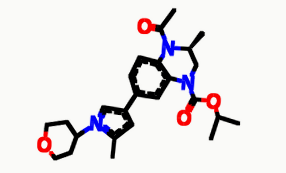 CC(=O)N1c2ccc(-c3cc(C)n(C4CCOCC4)c3)cc2N(C(=O)OC(C)C)C[C@@H]1C